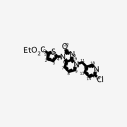 CCOC(=O)c1ccc(-n2c3cccn(Cc4ccc(Cl)nc4)c-3nc2=O)s1